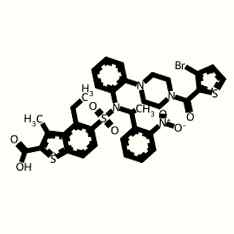 CCc1c(S(=O)(=O)N(c2ccccc2N2CCN(C(=O)c3sccc3Br)CC2)C(C)c2ccccc2[N+](=O)[O-])ccc2sc(C(=O)O)c(C)c12